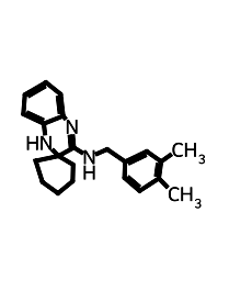 Cc1ccc(CNC2=Nc3ccccc3NC23CCCCC3)cc1C